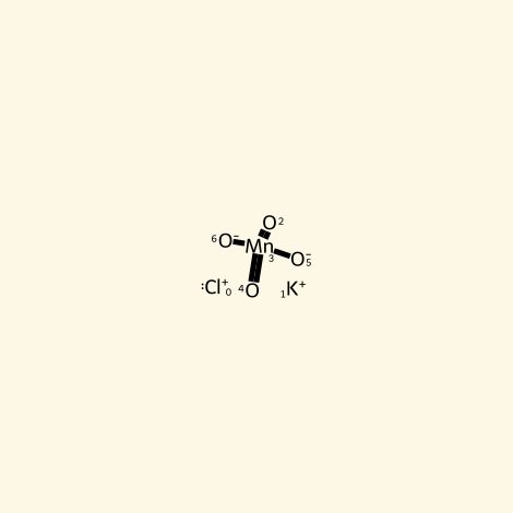 [Cl+].[K+].[O]=[Mn](=[O])([O-])[O-]